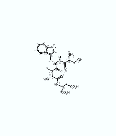 CCCC[C@@H](C(=O)N[C@@H](CC(=O)O)C(=O)O)N(C)C(=O)[C@H](Cc1c[nH]c2ccccc12)NC(=O)[C@@H](N)CO